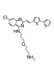 NCCCOCCCNc1nc(C=Cc2ccc(-c3cccs3)s2)nc2cc(Cl)ccc12